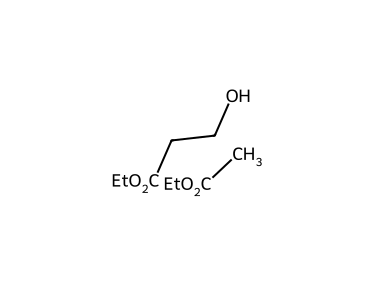 CCOC(=O)CCO.CCOC(C)=O